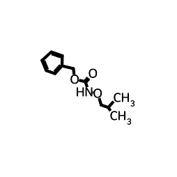 CC(C)CONC(=O)OCc1ccccc1